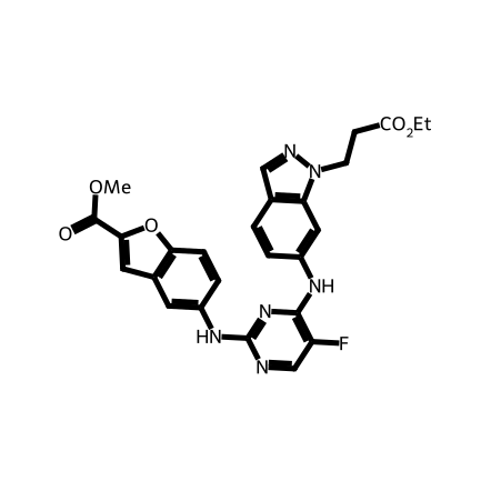 CCOC(=O)CCn1ncc2ccc(Nc3nc(Nc4ccc5oc(C(=O)OC)cc5c4)ncc3F)cc21